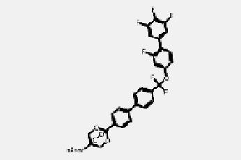 CCCCCC12COC(c3ccc(-c4ccc(C(F)(F)Oc5ccc(-c6cc(F)c(F)c(F)c6)c(F)c5)cc4)cc3)(OC1)OC2